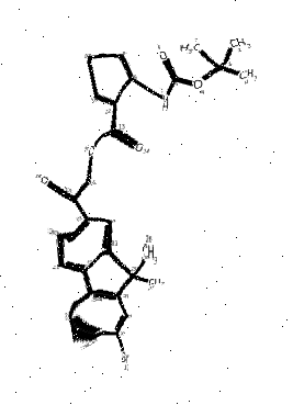 CC(C)(C)OC(=O)NC1CCCC1C(=O)OCC(=O)c1ccc2c(c1)C(C)(C)c1cc(Br)ccc1-2